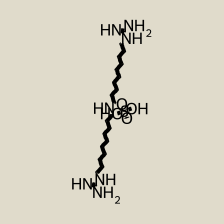 N=C(N)NCCCCCCCCCCNCCCCCCCCCCNC(=N)N.O=S(=O)(O)O